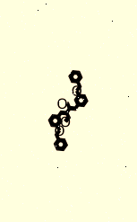 O=CC(=Cc1cccc(OCc2ccccc2)c1)C(C=O)=Cc1cccc(OCc2ccccc2)c1